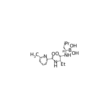 CCC(NC(=O)c1cccc(C)n1)C(=O)N[C@@H](CC(C)C)B(O)O